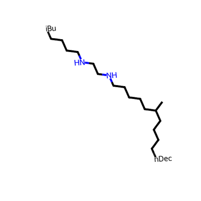 CCCCCCCCCCCCCCC(C)CCCCCNCCNCCCCC(C)CC